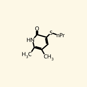 CCCSc1cc(C)c(C)[nH]c1=O